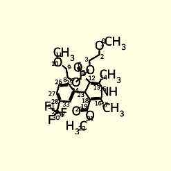 COCCOP(=O)(OCCOC)C1=C(C)NC(C)=C(C(=O)OC)C1c1cccc(C(F)(F)F)c1